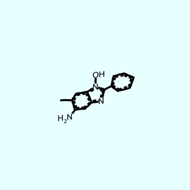 Cc1cc2c(cc1N)nc(-c1ccccc1)n2O